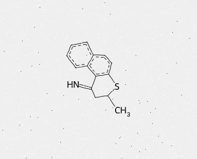 CC1CC(=N)c2c(ccc3ccccc23)S1